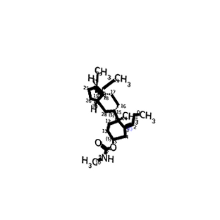 CC/C=C1/C[C@@H](OC(=O)NC)CC[C@]1(C)[C@H]1CC[C@]23CN(C)[C@@H](C)[C@H]2CC[C@H]3C1